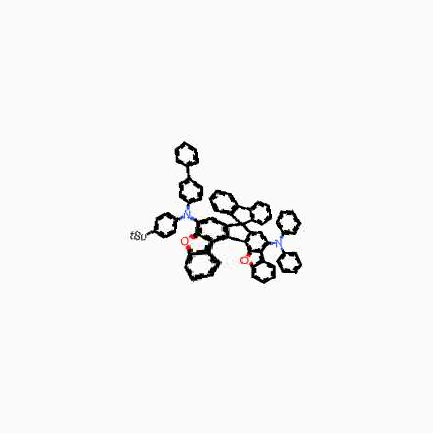 CC(C)(C)c1ccc(N(c2ccc(-c3ccccc3)cc2)c2cc3c(c4c2oc2ccccc24)-c2c(cc(N(c4ccccc4)c4ccccc4)c4c2oc2ccccc24)C32c3ccccc3-c3ccccc32)cc1